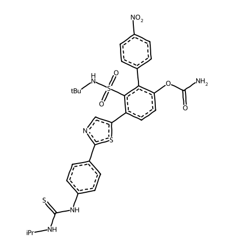 CC(C)NC(=S)Nc1ccc(-c2ncc(-c3ccc(OC(N)=O)c(-c4ccc([N+](=O)[O-])cc4)c3S(=O)(=O)NC(C)(C)C)s2)cc1